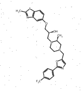 Cc1nc2cc(OC[C@@H](O)CN3CCN(Cc4cnc(-c5ccc(C(F)(F)F)cc5)o4)C[C@@H]3C)ccc2s1